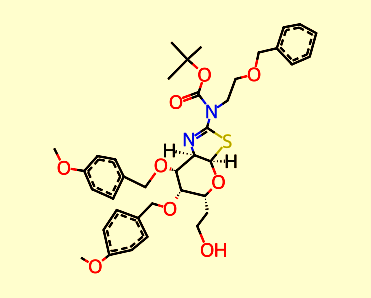 COc1ccc(CO[C@@H]2[C@H]3N=C(N(CCOCc4ccccc4)C(=O)OC(C)(C)C)S[C@H]3O[C@H](CCO)[C@@H]2OCc2ccc(OC)cc2)cc1